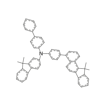 CC1(C)c2ccccc2-c2ccc(N(c3ccc(-c4ccccc4)cc3)c3ccc(-c4cccc5c6c(ccc45)-c4ccccc4C6(C)C)cc3)cc21